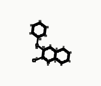 Clc1nc2ccccc2cc1Oc1ccccc1